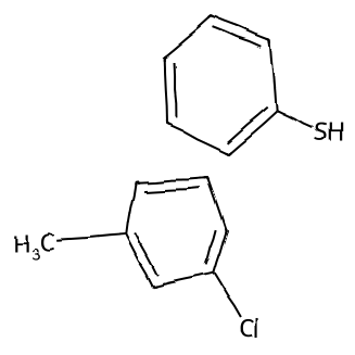 Cc1cccc(Cl)c1.Sc1ccccc1